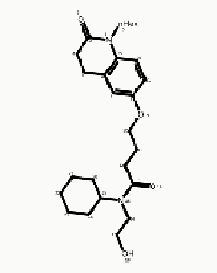 CCCCCCN1C(=O)CCc2cc(OCCCC(=O)N(CCO)C3CCCCC3)ccc21